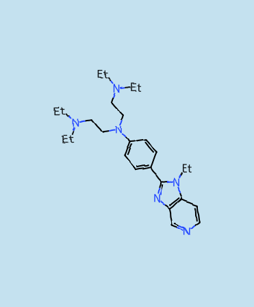 CCN(CC)CCN(CCN(CC)CC)c1ccc(-c2nc3cnccc3n2CC)cc1